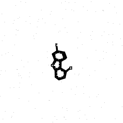 Fc1c#cc2c(c1)oc1cccc(Cl)c12